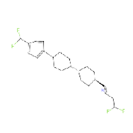 FC(F)C/C=C/[C@H]1CC[C@H](C2CCC(c3ccc(C(F)F)cc3)CC2)CC1